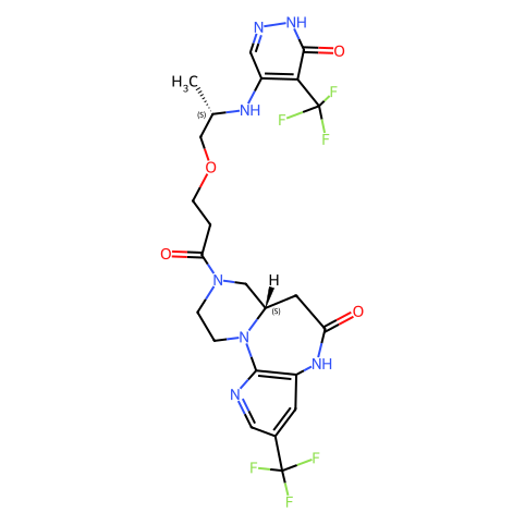 C[C@@H](COCCC(=O)N1CCN2c3ncc(C(F)(F)F)cc3NC(=O)C[C@H]2C1)Nc1cn[nH]c(=O)c1C(F)(F)F